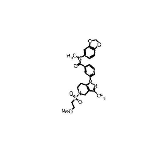 COCCS(=O)(=O)N1CCc2c(c(C(F)(F)F)nn2-c2cccc(C(=O)N(C)c3ccc4c(c3)OCO4)c2)C1